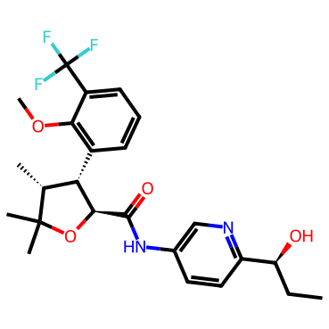 CC[C@H](O)c1ccc(NC(=O)[C@H]2OC(C)(C)[C@H](C)[C@@H]2c2cccc(C(F)(F)F)c2OC)cn1